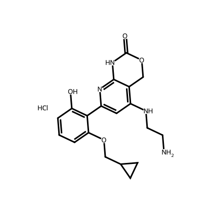 Cl.NCCNc1cc(-c2c(O)cccc2OCC2CC2)nc2c1COC(=O)N2